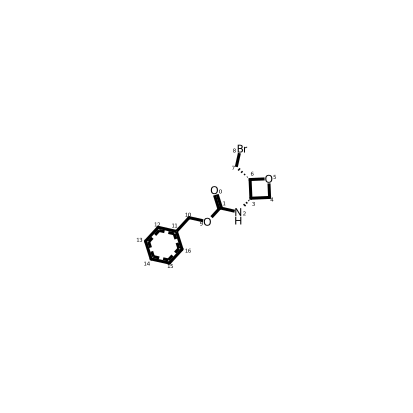 O=C(N[C@H]1CO[C@H]1CBr)OCc1ccccc1